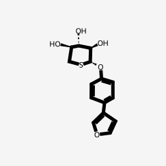 O[C@@H]1[C@@H](O)[C@H](Oc2ccc(-c3ccoc3)cc2)SC[C@H]1O